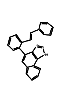 C(=Cc1ccccc1-c1cc2ccccc2c2[nH]nnc12)c1ccccc1